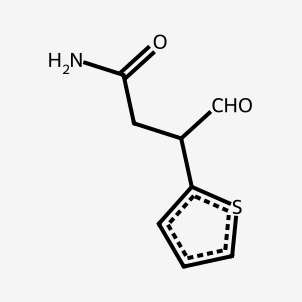 NC(=O)CC(C=O)c1cccs1